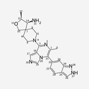 Cc1nc(N2CCC3(CC2)CO[C@@H](C)[C@H]3N)c2cncn2c1-c1ccc2c[nH]nc2c1